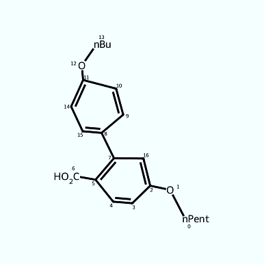 CCCCCOc1ccc(C(=O)O)c(-c2ccc(OCCCC)cc2)c1